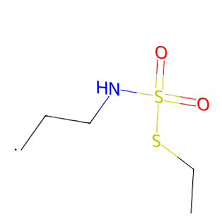 [CH2]CCNS(=O)(=O)SCC